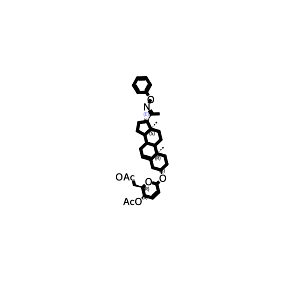 CC(=O)OC[C@H]1OC(O[C@H]2CC[C@@]3(C)C(=CCC4C3CC[C@@]3(C)C4CC[C@@H]3/C(C)=N/Oc3ccccc3)C2)C=C[C@@H]1OC(C)=O